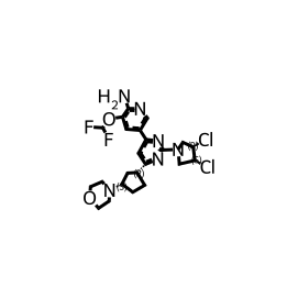 Nc1ncc(-c2cc([C@@H]3CC[C@H](N4CCOCC4)C3)nc(N3C[C@@H](Cl)[C@@H](Cl)C3)n2)cc1OC(F)F